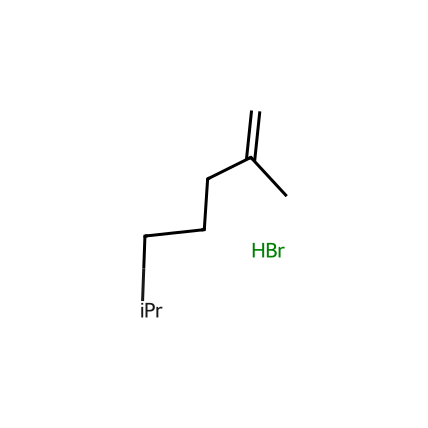 Br.C=C(C)CCCC(C)C